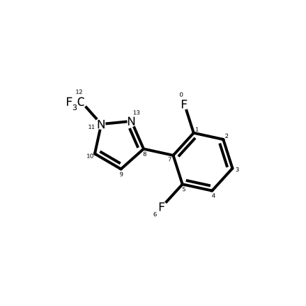 Fc1cccc(F)c1-c1ccn(C(F)(F)F)n1